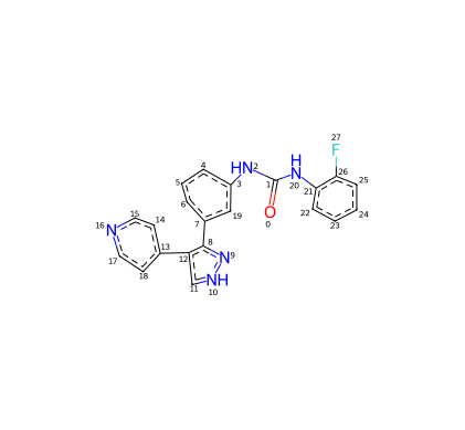 O=C(Nc1cccc(-c2n[nH]cc2-c2ccncc2)c1)Nc1ccccc1F